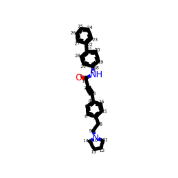 O=C(C#Cc1ccc(CCN2CCCC2)cc1)Nc1ccc(-c2ccccc2)cc1